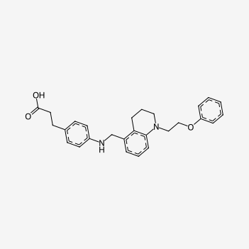 O=C(O)CCc1ccc(NCc2cccc3c2CCCN3CCOc2ccccc2)cc1